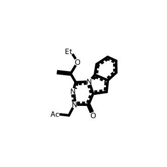 C=C(OCC)c1nn(CC(C)=O)c(=O)c2cc3ccccc3n12